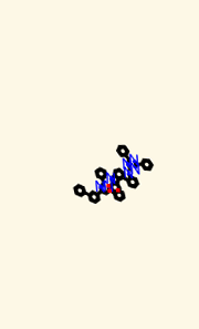 c1ccc(-c2cccc(-c3cc(-c4ccccc4)nc(-c4ccccc4-n4c5ccccc5c5c6c7ccccc7n(-c7nc(-c8ccccc8)nc(-c8ccccc8)n7)c6ccc54)n3)c2)cc1